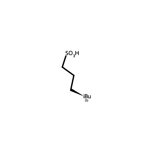 CC[C@H](C)CCCS(=O)(=O)O